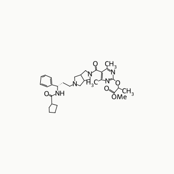 COC(=O)C(C)Oc1nc(C)c(C(=O)N2CC3CN(CC[C@H](NC(=O)C4CCCC4)c4ccccc4)CC3C2)c(C)n1